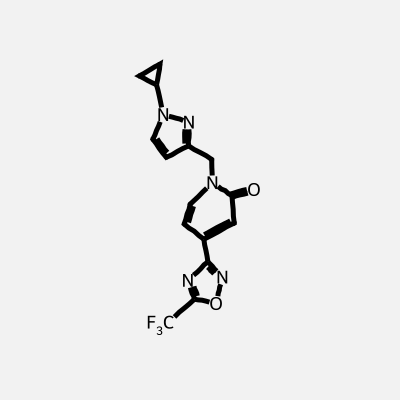 O=c1cc(-c2noc(C(F)(F)F)n2)ccn1Cc1ccn(C2CC2)n1